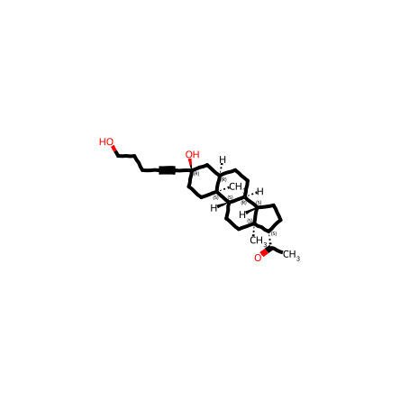 CC(=O)[C@H]1CC[C@H]2[C@@H]3CC[C@@H]4C[C@@](O)(C#CCCCO)CC[C@]4(C)[C@H]3CC[C@]12C